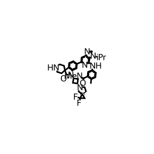 CNC(=O)c1cc(Nc2nc(-c3ccc4c(c3)N(C3CC(N5CC[C@@]6(C5)CC6(F)F)C3)C(=O)C43CCNCC3)cc3ncn(C(C)C)c23)ccc1C